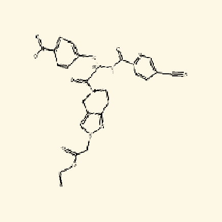 CCOC(=O)Cn1cc2c(n1)CCN(C(=O)[C@H](Cc1ccc([N+](=O)[O-])cc1)NC(=O)c1ccc(C#N)cn1)C2